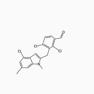 Cc1cc(Cl)c2cc(Cc3c(Cl)ccc(C=O)c3Cl)n(C)c2c1